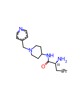 CC(C)C[C@H](N)C(=O)NC1CCN(Cc2ccncc2)CC1